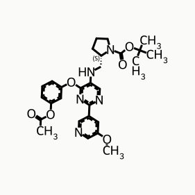 COc1cncc(-c2ncc(NC[C@@H]3CCCN3C(=O)OC(C)(C)C)c(Oc3cccc(OC(C)=O)c3)n2)c1